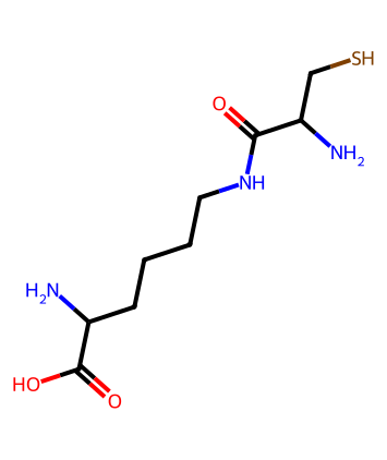 NC(CCCCNC(=O)C(N)CS)C(=O)O